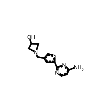 Nc1ccnc(-c2cc(CN3CC(O)C3)cs2)n1